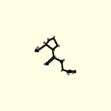 CCCCCCCCOC(=O)C1CCCN1C(C)=O